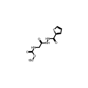 CC(C)(C)OC(=O)NCC(=O)NNC(=O)c1cccs1